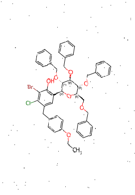 CCOc1ccc(Cc2cc([C@@H]3O[C@H](COCc4ccccc4)[C@@H](OCc4ccccc4)[C@H](OCc4ccccc4)[C@H]3OCc3ccccc3)c(O)c(Br)c2Cl)cc1